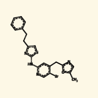 Cc1cnc(Cc2cc(Nc3nc(CCc4ccccc4)cs3)ncc2Br)o1